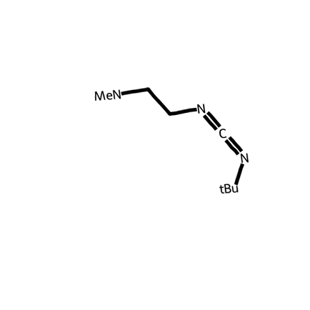 CNCCN=C=NC(C)(C)C